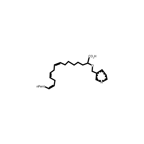 CCCCC/C=C\C/C=C\C/C=C\CCCCCC(OCc1cccnc1)C(=O)O